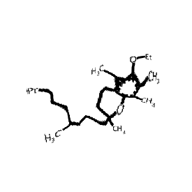 CCOc1c(C)c(C)c2c(c1C)CCC(C)(CCCC(C)CCCC(C)C)O2